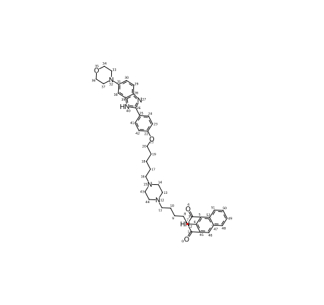 O=C1NC(=O)c2c(CCCCCN3CCN(CCCCCOc4ccc(-c5nc6ccc(N7CCOCC7)cc6[nH]5)cc4)CC3)c1cc1ccccc21